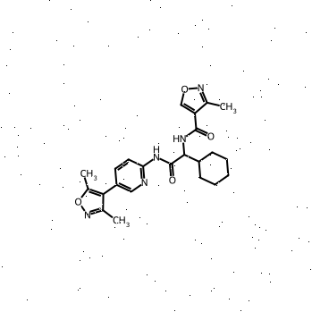 Cc1nocc1C(=O)NC(C(=O)Nc1ccc(-c2c(C)noc2C)cn1)C1CCCCC1